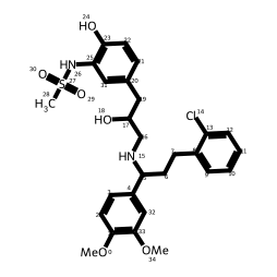 COc1ccc(C(CCc2ccccc2Cl)NCC(O)Cc2ccc(O)c(NS(C)(=O)=O)c2)cc1OC